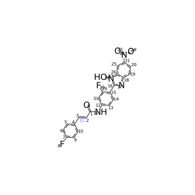 O=C(/C=C/c1ccc(F)cc1)Nc1ccc(-c2nc3ccc([N+](=O)[O-])cc3n2O)c(F)c1